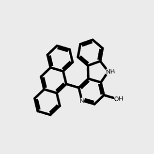 Oc1cnc(-c2c3ccccc3cc3ccccc23)c2c1[nH]c1ccccc12